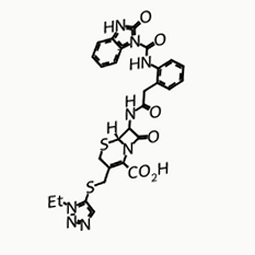 CCn1nncc1SCC1=C(C(=O)O)N2C(=O)C(NC(=O)Cc3ccccc3NC(=O)n3c(=O)[nH]c4ccccc43)[C@H]2SC1